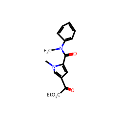 CCOC(=O)C(=O)c1cc(C(=O)N(c2ccccc2)C(F)(F)F)n(C)c1